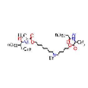 CCCCCCCCCCCC(=O)NC(C)C(=O)OCCCCCN(CC)CCCCCCCOC(=O)C(C)NC(=O)C(CCCCCCCC)CCCCCCCC